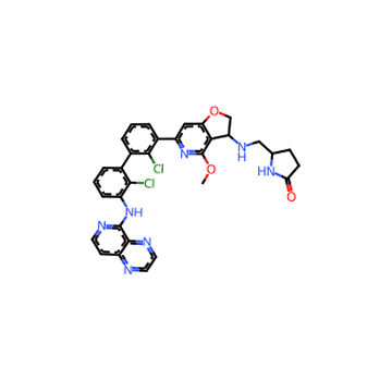 COc1nc(-c2cccc(-c3cccc(Nc4nccc5nccnc45)c3Cl)c2Cl)cc2c1C(NCC1CCC(=O)N1)CO2